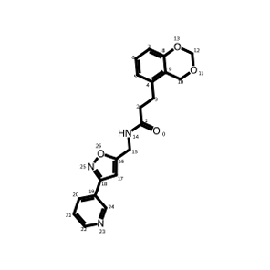 O=C(CCc1cccc2c1COCO2)NCc1cc(-c2cccnc2)no1